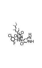 C\C=C(/C=C(C)\C=C(/C)CC)n1c(=O)nc(NC2=C/C(=C/NC)C(=N)C=C2Cl)n(Cc2cc(Cl)ccc2F)c1=O